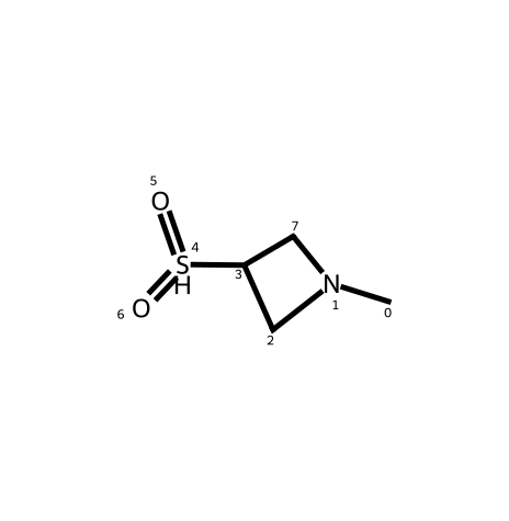 CN1CC([SH](=O)=O)C1